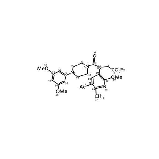 CCOC(=O)CN(C(=O)N1CCN(c2cc(OC)cc(OC)c2)CC1)c1cc(C(C)=O)c(C)nc1OC